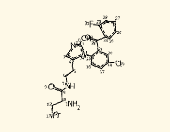 Cc1ncc(CCNC(=O)[C@H](N)CC(C)C)n1-c1ccc(Cl)cc1C(=O)c1ccccc1F